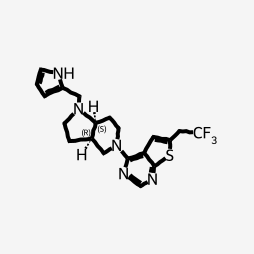 FC(F)(F)Cc1cc2c(N3CC[C@H]4[C@H](CCN4Cc4ccc[nH]4)C3)ncnc2s1